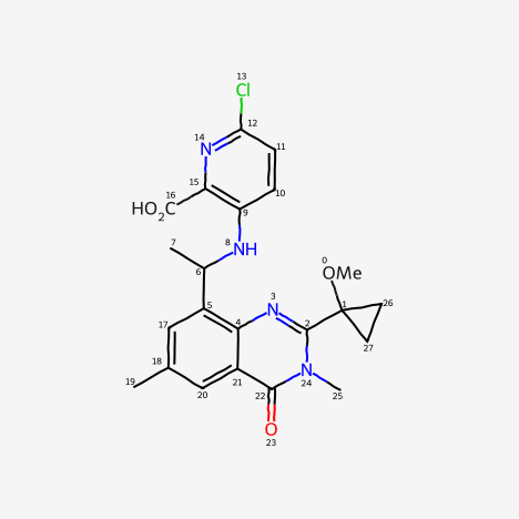 COC1(c2nc3c(C(C)Nc4ccc(Cl)nc4C(=O)O)cc(C)cc3c(=O)n2C)CC1